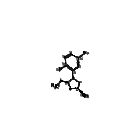 CCN1[CH][C@H](O)CC1c1cc(F)ccc1F